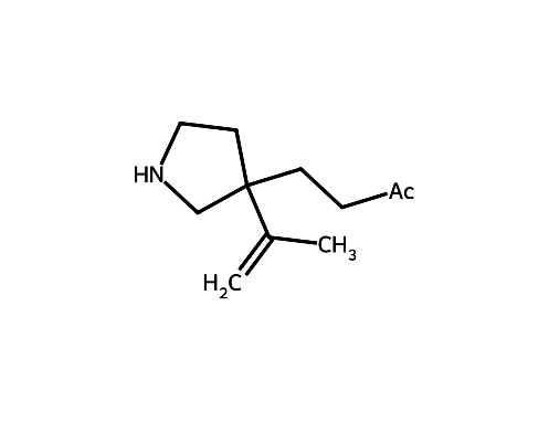 C=C(C)C1(CCC(C)=O)CCNC1